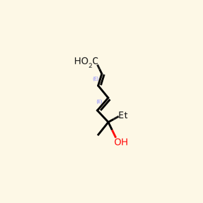 CCC(C)(O)/C=C/C=C/C(=O)O